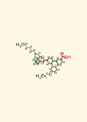 C=CCOc1ccc(-c2ccc(C(=O)O)cc2-c2ccc(C(=O)OC(CCCCCCCC)C(F)(F)C(F)(F)F)cc2)cc1